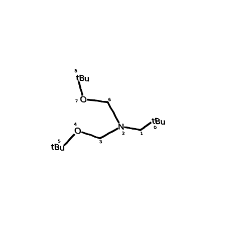 CC(C)(C)CN(COC(C)(C)C)COC(C)(C)C